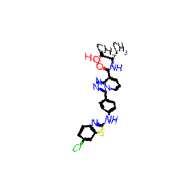 C=C(O)[C@H](CC)NC(=O)c1cccn2c(-c3ccc(Nc4nc5ccc(Cl)cc5s4)cc3)nnc12